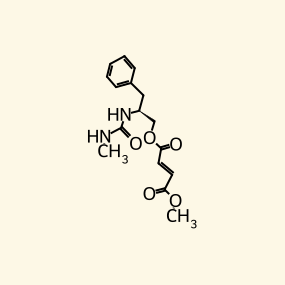 CNC(=O)N[C@H](COC(=O)/C=C/C(=O)OC)Cc1ccccc1